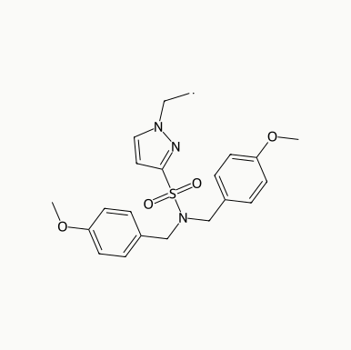 [CH2]Cn1ccc(S(=O)(=O)N(Cc2ccc(OC)cc2)Cc2ccc(OC)cc2)n1